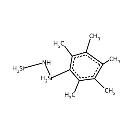 Cc1c(C)c(C)c([SiH2]N[SiH3])c(C)c1C